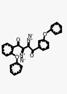 [N-]=[N+]=C(C(=O)c1cccc(Oc2ccccc2)c1)C(=[N+]=[N-])C(=O)c1ccccc1Oc1ccccc1